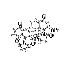 CCCc1cc(Cl)c2ccccc2c1N1C(=O)C=CC1=O.CCCc1ccc2c(Cl)cccc2c1N1C(=O)C=CC1=O